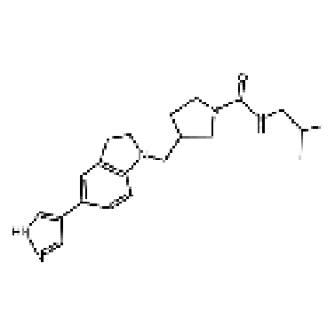 CC(C)CNC(=O)N1CCC(CN2CCc3cc(-c4cn[nH]c4)ccc32)C1